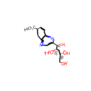 O=C(O)c1ccc2nc([C@@H](O)[C@H](O)[C@H](O)CO)cnc2c1